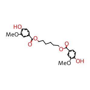 COc1cc(C(=O)OCCCCCCOC(=O)c2ccc(O)c(OC)c2)ccc1O